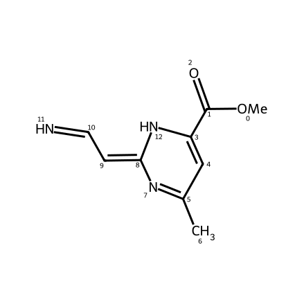 COC(=O)C1=CC(C)=N/C(=C/C=N)N1